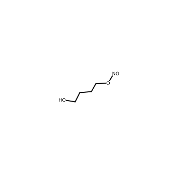 O=NOCCCCO